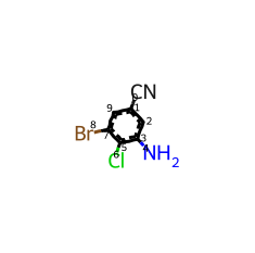 N#Cc1cc(N)c(Cl)c(Br)c1